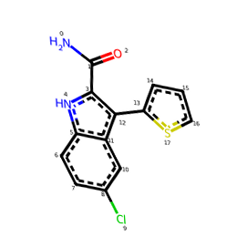 NC(=O)c1[nH]c2ccc(Cl)cc2c1-c1cccs1